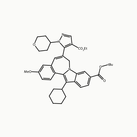 CCOC(=O)c1cnn(C2CCOCC2)c1C1=Cc2cc(OC)ccc2-c2c(C3CCCCC3)c3ccc(C(=O)OC(C)(C)C)cc3n2C1